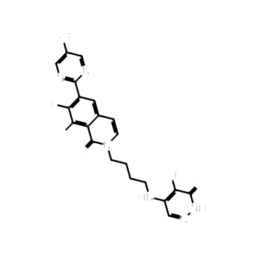 O=c1[nH]ncc(NCCCCn2ccc3cc(-c4ncc(C(F)(F)F)cn4)c(F)c(F)c3c2=O)c1C(F)(F)F